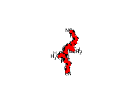 CC1(C)CC(n2c(Cc3cc(F)c(-c4cccc(OCc5ccc(C#N)cc5F)n4)cc3F)nc3ccc(C(=O)OC(=O)c4ccc5nc(Cc6cc(F)c(-c7cccc(OCc8ccc(C#N)cc8F)n7)cc6F)n(C6CC(C)(C)OC6(C)C)c5c4)cc32)C(C)(C)O1